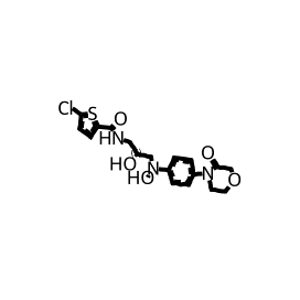 O=C(NC[C@H](O)CN(O)c1ccc(N2CCOCC2=O)cc1)c1ccc(Cl)s1